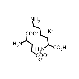 NC(CCC(=O)[O-])C(=O)[O-].NCCCCC(N)C(=O)O.[K+].[K+]